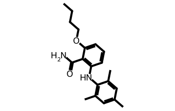 CCCCOc1cccc(Nc2c(C)cc(C)cc2C)c1C(N)=O